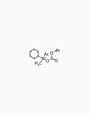 CC(=O)[N+](C)(OS(=O)OC(C)C)c1ccccc1